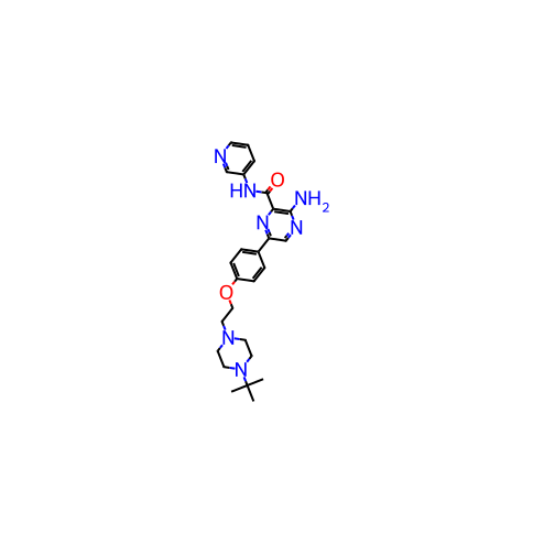 CC(C)(C)N1CCN(CCOc2ccc(-c3cnc(N)c(C(=O)Nc4cccnc4)n3)cc2)CC1